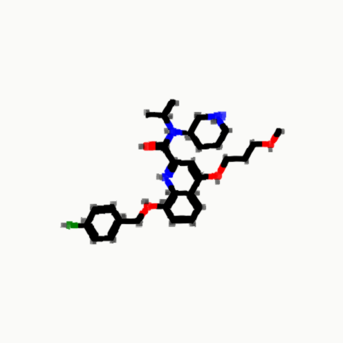 COCCCOc1cc(C(=O)N(C(C)C)[C@@H]2CCCNC2)nc2c(OCc3ccc(F)cc3)cccc12